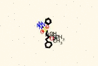 CC(CCS(=O)(=O)c1nnnn1-c1ccccc1)(CC1CCCCC1)O[Si](C)(C)C